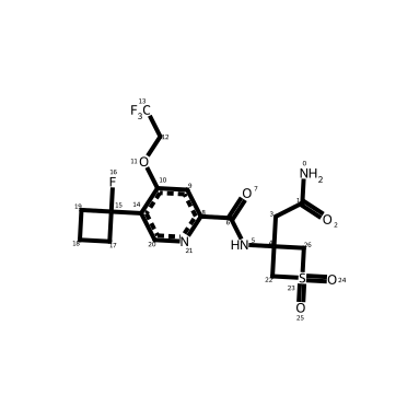 NC(=O)CC1(NC(=O)c2cc(OCC(F)(F)F)c(C3(F)CCC3)cn2)CS(=O)(=O)C1